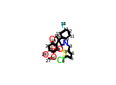 OC1N(Cc2ccc(Cl)s2)c2ccc(F)cc2C12COc1cc3c(cc12)OCO3